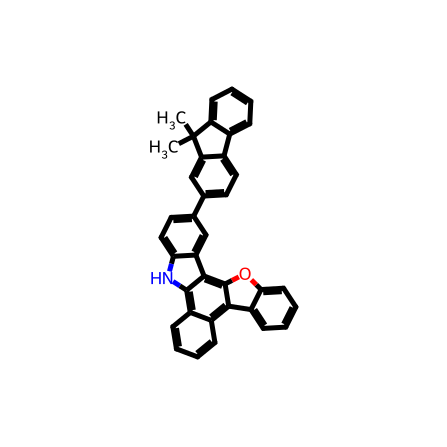 CC1(C)c2ccccc2-c2ccc(-c3ccc4[nH]c5c6ccccc6c6c7ccccc7oc6c5c4c3)cc21